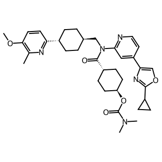 COc1ccc([C@H]2CC[C@H](CN(c3cc(-c4coc(C5CC5)n4)ccn3)C(=O)[C@H]3CC[C@H](OC(=O)N(C)C)CC3)CC2)nc1C